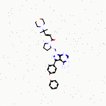 CC(C)(C=C(C#N)C(=O)N1CCC[C@@H]1Cn1nc(-c2ccc(Oc3ccccc3)cc2F)c2c(N)ncnc21)N1CCOCC1